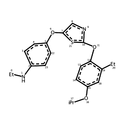 CCNc1ccc(Oc2cnc(Oc3ccc(OC(C)C)cc3CC)s2)cc1